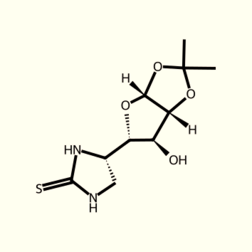 CC1(C)O[C@H]2O[C@@H]([C@@H]3CNC(=S)N3)[C@H](O)[C@H]2O1